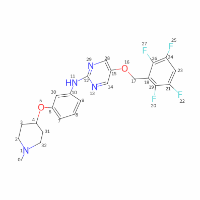 CN1CCC(Oc2cccc(Nc3ncc(OCc4c(F)c(F)cc(F)c4F)cn3)c2)CC1